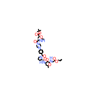 C=CCOC(=O)CNC(=O)C(=O)C(CCC)NC(=O)[C@@H]1CCCN1C(=O)c1ccc(N2CCN(C(=O)[C@H](CCC(=O)OC(C)(C)C)NC(C)=O)CC2)cc1